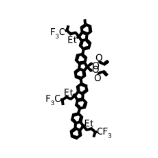 C=CC(=O)OCC1(COC(=O)C=C)c2cc(-c3ccc4c(c3)C(CC)(CCC(C)C(F)(F)F)c3cc(C)ccc3-4)ccc2-c2ccc(-c3ccc4c(c3)C(CC)(CCC(C)C(F)(F)F)c3cc(-c5ccc6c(c5)C(CC)(CCC(C)C(F)(F)F)c5ccccc5-6)ccc3-4)cc21